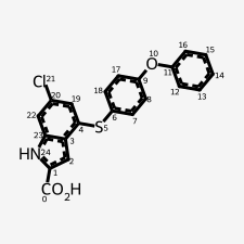 O=C(O)c1cc2c(Sc3ccc(Oc4ccccc4)cc3)cc(Cl)cc2[nH]1